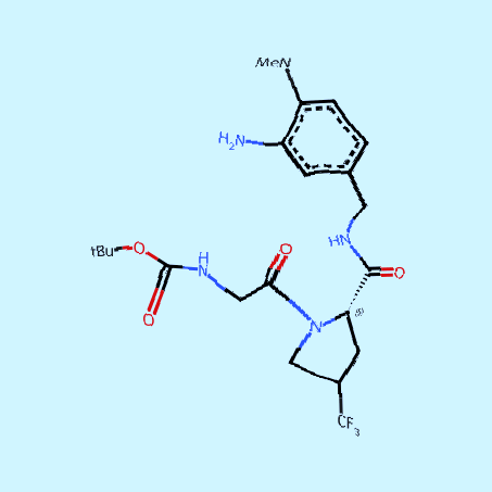 CNc1ccc(CNC(=O)[C@@H]2CC(C(F)(F)F)CN2C(=O)CNC(=O)OC(C)(C)C)cc1N